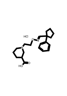 Cl.O=C(O)C1CCCN(CCON=CC2(c3ccccc3)CCCC2)C1